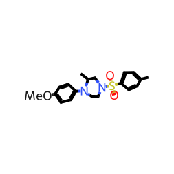 COc1ccc(N2CCN(S(=O)(=O)c3ccc(C)cc3)CC2C)cc1